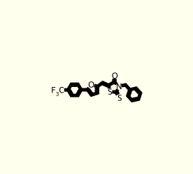 O=C1/C(=C/c2ccc(-c3ccc(C(F)(F)F)cc3)o2)SC(=S)N1Cc1ccccc1